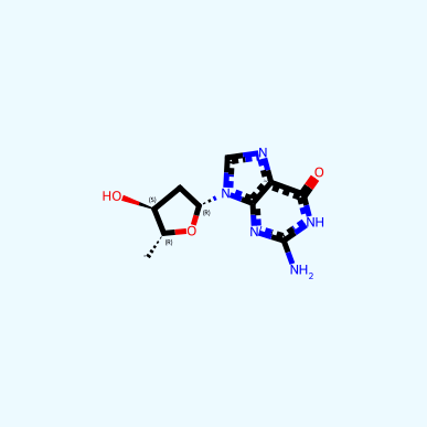 [CH2][C@H]1O[C@@H](n2cnc3c(=O)[nH]c(N)nc32)C[C@@H]1O